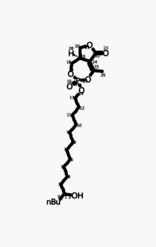 CCCCC(O)CCCCCCCCCCCOP1(=O)OC[C@H]2COC(=O)C2=C(C)O1